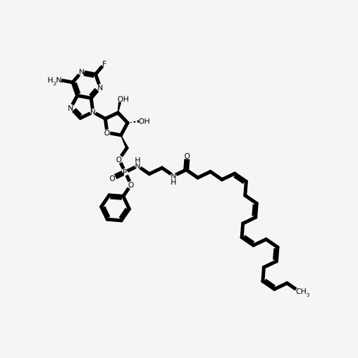 CC/C=C\C/C=C\C/C=C\C/C=C\C/C=C\CCCC(=O)NCCNP(=O)(OC[C@H]1OC(n2cnc3c(N)nc(F)nc32)[C@@H](O)[C@@H]1O)Oc1ccccc1